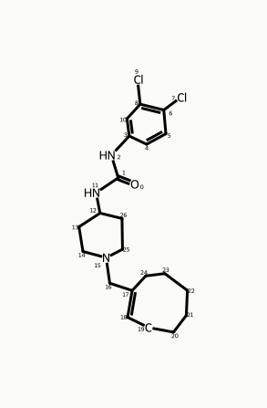 O=C(Nc1ccc(Cl)c(Cl)c1)NC1CCN(C/C2=C/CCCCCC2)CC1